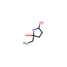 CCC1(O)CCC(O)[N]1